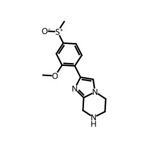 COc1cc([S+](C)[O-])ccc1-c1cn2c(n1)CNCC2